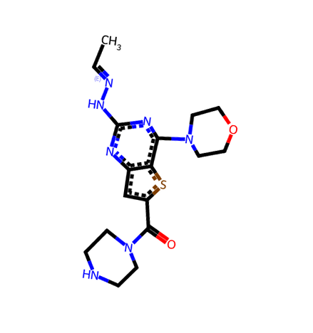 C/C=N/Nc1nc(N2CCOCC2)c2sc(C(=O)N3CCNCC3)cc2n1